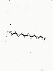 O=[C]OCCOCCOCCCl